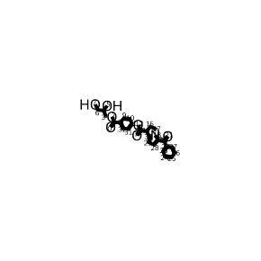 O=C(OCC(O)CO)c1ccc(OC(=O)C2CCn3c(C(=O)c4ccccc4)ccc32)cc1